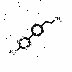 CCCc1ccc(-c2nnc(C)nn2)cc1